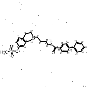 CS(=O)(=O)Oc1ccc2c(c1)CN(CCCCNC(=O)c1ccc(-c3ccccc3)cc1)CC2